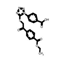 CCOC(=O)c1ccc(C(=O)CSc2nnnn2-c2ccc(C(=O)O)cc2)cc1